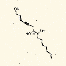 CCCCCCC[C@@H](O)[C@H](O)CC#C/C=C/CO